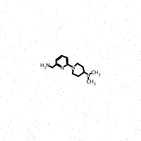 CN(C)C1CCN(c2cccc(CN)n2)CC1